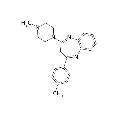 Cc1ccc(C2=Nc3ccccc3N=C(N3CCN(C)CC3)C2)cc1